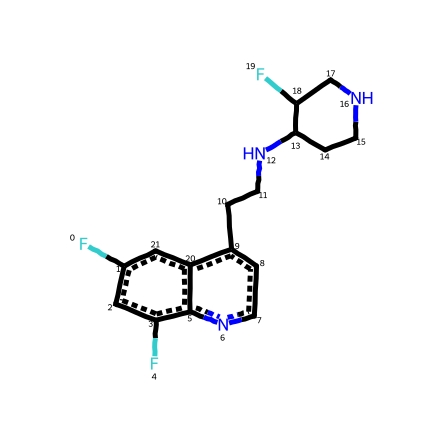 Fc1cc(F)c2nccc(CCNC3CCNCC3F)c2c1